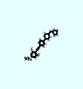 Fc1cc(N=C=S)cc(F)c1C#Cc1ccc(C2CCC(CC3CCCC3)CC2)cc1